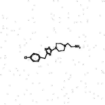 NCCN1CCN(c2nc(Cc3ccc(Cl)cc3)ns2)CC1